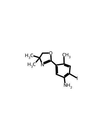 Cc1cc(I)c(N)cc1C1=NC(C)(C)CO1